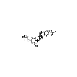 CC(C)Oc1ccc(-n2nc(NC3C=CC(OCC(F)(F)F)=CC3=C=O)nc2N)cc1